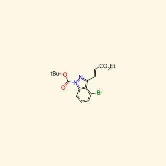 CCOC(=O)/C=C/c1nn(C(=O)OC(C)(C)C)c2cccc(Br)c12